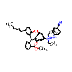 CCCCc1ccc2c(c1)C(c1ccccc1C(=O)OC)c1ccc([N+](CC)(CC)Nc3ccc(C#N)cc3)cc1O2